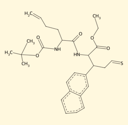 C=CCCC(NC(=O)OC(C)(C)C)C(=O)NC(C(=O)OCC)C(CC=S)c1ccc2ccccc2c1